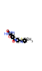 CC[C@]1(c2ccc(C(=O)N3CCC(c4nc5ccc(C)cc5s4)CC3)cc2)NC(=O)NC1=O